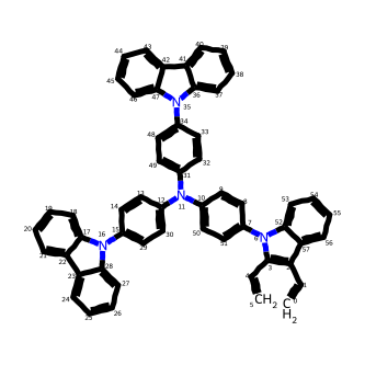 C=Cc1c(C=C)n(-c2ccc(N(c3ccc(-n4c5ccccc5c5ccccc54)cc3)c3ccc(-n4c5ccccc5c5ccccc54)cc3)cc2)c2ccccc12